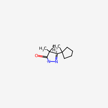 CC1(C2=N[N]C(=O)C2(C)C)CCCC1